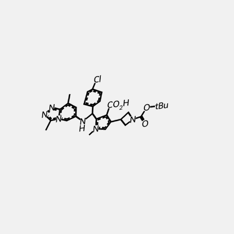 Cc1cc(NC(c2ccc(Cl)cc2)c2c(C(=O)O)c(C3CN(C(=O)OC(C)(C)C)C3)cn2C)cn2c(C)nnc12